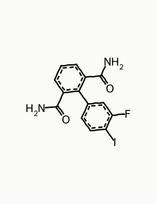 NC(=O)c1cccc(C(N)=O)c1-c1ccc(I)c(F)c1